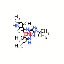 CCC[C@H](Nc1nc(NCC2=C(C)C=C(C)NC2C)c2ncn(C(C)C)c2n1)[C@@H](C)O